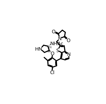 CC(=O)N[C@H]1CNC[C@H]1Oc1c(C)cc(Cl)cc1-c1ccnc2cc(CN3C(=O)CCC3=O)sc12